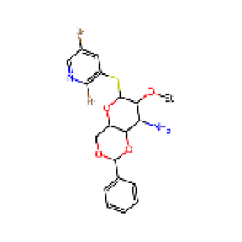 CCOC1C(Sc2cc(Br)cnc2Br)OC2COC(c3ccccc3)OC2C1N